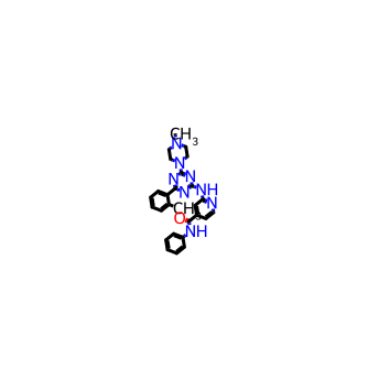 Cc1ccccc1-c1nc(Nc2cc(C(=O)Nc3ccccc3)ccn2)nc(N2CCN(C)CC2)n1